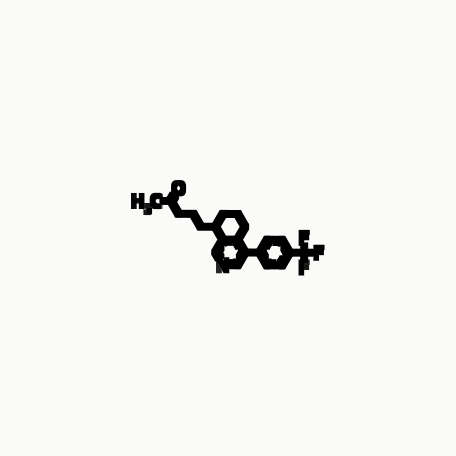 CC(=O)CCCC1CCCc2c(-c3ccc(C(F)(F)F)cc3)cncc21